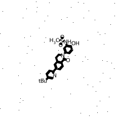 CC(C)(C)c1ccc(-c2ccc3c(c2)CCN(c2ccc(O)c(NS(C)(=O)=O)c2)C3=O)nc1